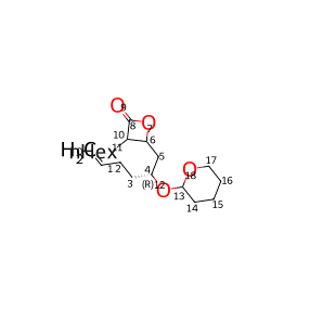 C=CCC[C@H](CC1OC(=O)C1CCCCCC)OC1CCCCO1